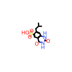 CC(C)Cc1cc2[nH]c(=O)[nH]c(=O)c2cc1S(=O)(=O)O